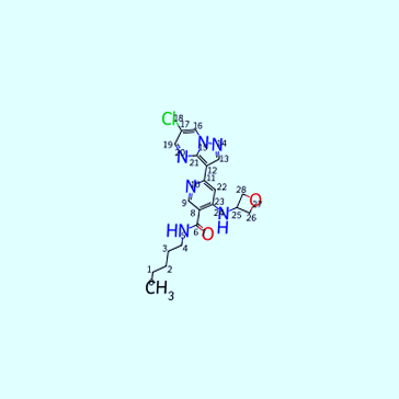 CCCCCNC(=O)c1cnc(-c2cnn3cc(Cl)cnc23)cc1NC1COC1